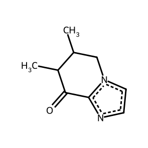 CC1Cn2ccnc2C(=O)C1C